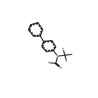 O=C(F)N(c1ccc(-c2ccccc2)cc1)C(F)(F)F